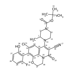 CC1CN(C(=O)OC(C)(C)C)CCN1c1c(C#N)c(=O)n2c3c(c(-c4c(O)cccc4F)c(Cl)cc13)OCC2